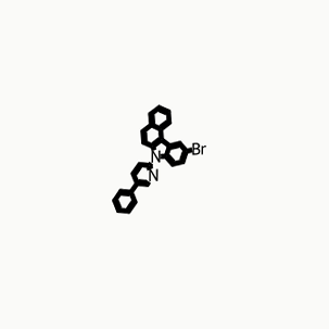 Brc1ccc2c(c1)c1c3ccccc3ccc1n2-c1ccc(-c2ccccc2)cn1